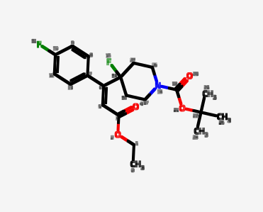 CCOC(=O)C=C(c1ccc(F)cc1)C1(F)CCN(C(=O)OC(C)(C)C)CC1